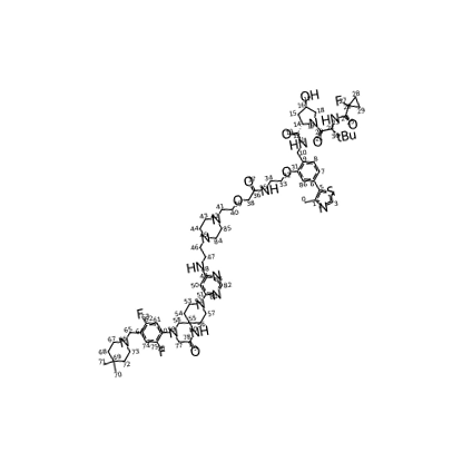 Cc1ncsc1-c1ccc(CNC(=O)[C@@H]2C[C@@H](O)CN2C(=O)[C@@H](NC(=O)C2(F)CC2)C(C)(C)C)c(OCCNC(=O)COCCN2CCN(CCNc3cc(N4CCC5(CC4)CN(c4cc(F)c(CN6CCC(C)(C)CC6)cc4F)CC(=O)N5)ncn3)CC2)c1